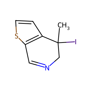 CC1(I)CN=Cc2sccc21